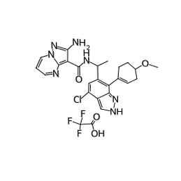 COC1CC=C(c2c(C(C)NC(=O)c3c(N)nn4cccnc34)cc(Cl)c3c[nH]nc23)CC1.O=C(O)C(F)(F)F